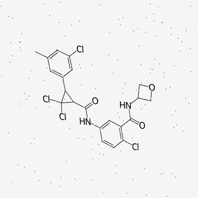 Cc1cc(Cl)cc(C2C(C(=O)Nc3ccc(Cl)c(C(=O)NC4COC4)c3)C2(Cl)Cl)c1